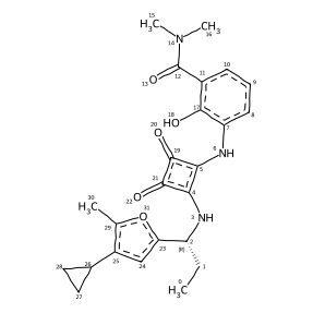 CC[C@@H](Nc1c(Nc2cccc(C(=O)N(C)C)c2O)c(=O)c1=O)c1cc(C2CC2)c(C)o1